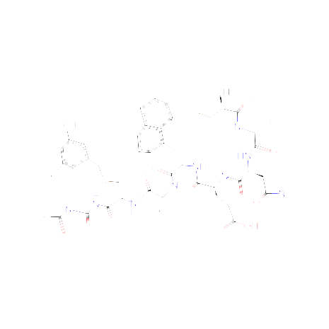 CSC[C@@H](C)C(=O)N[C@H](C)C(=O)N[C@@H](CC(N)=O)C(=O)N[C@@H](CCC(=O)O)C(=O)N[C@@H](Cc1cccc2ccccc12)C(=O)N[C@H](C)C(=O)N[C@@H](CSCc1cc(C)cc(C)c1)C(=O)NC(=O)NC(C)=O